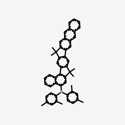 Cc1ccc(N(c2ccc(C)cc2C)c2cc3c(c4ccccc24)-c2cc4c(cc2C3(C)C)-c2cc3cc5ccccc5cc3cc2C4(C)C)c(C)c1